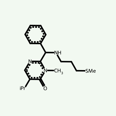 CSCCCNC(c1ccccc1)c1ncc(C(C)C)c(=O)n1C